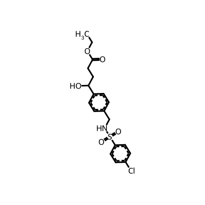 CCOC(=O)CCC(O)c1ccc(CNS(=O)(=O)c2ccc(Cl)cc2)cc1